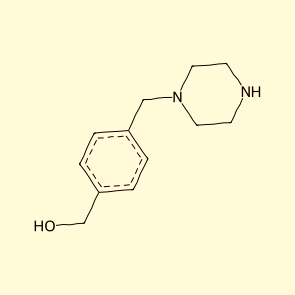 OCc1ccc(CN2CCNCC2)cc1